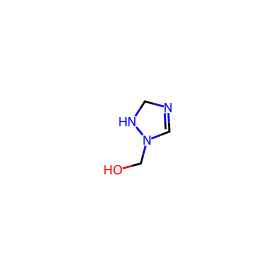 OCN1C=NCN1